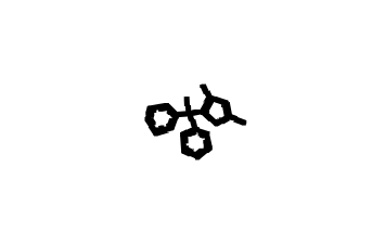 CC1=CC(C)=C(C(C)(c2ccccc2)c2ccccc2)C1